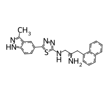 Cc1n[nH]c2ccc(-c3nnc(NC[C@H](N)Cc4cccc5ccccc45)s3)cc12